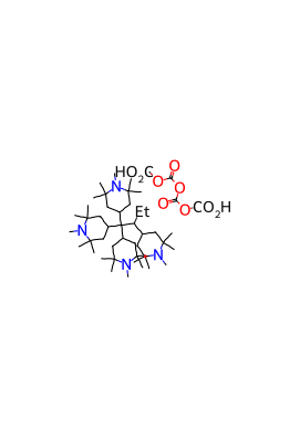 CCC(C1CC(C)(C)N(C)C(C)(C)C1)C(C1CC(C)(C)N(C)C(C)(C)C1)(C1CC(C)(C)N(C)C(C)(C)C1)C1CC(C)(C)N(C)C(C)(C)C1.O=C(O)OC(=O)OC(=O)OC(=O)O